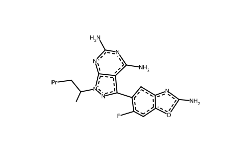 CC(C)CC(C)n1nc(-c2cc3nc(N)oc3cc2F)c2c(N)nc(N)nc21